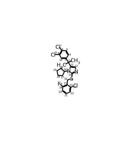 CC(C)(c1ccc(Cl)c(Cl)c1)c1cnc(SCc2c(F)cccc2Cl)n1C1CCCC1